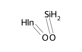 O=[SiH2].[O]=[InH]